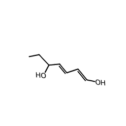 CCC(O)C=CC=CO